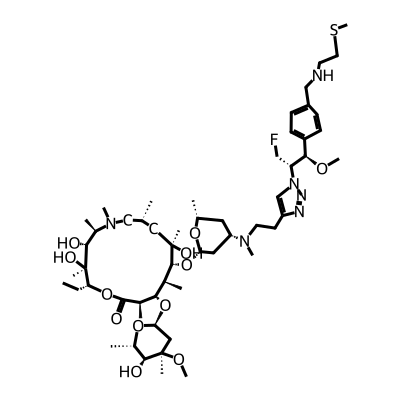 CC[C@H]1OC(=O)[C@H](C)[C@@H](O[C@H]2C[C@@](C)(OC)[C@@H](O)[C@H](C)O2)[C@H](C)[C@@H](O[C@H]2C[C@@H](N(C)CCc3cn([C@H](CF)[C@H](OC)c4ccc(CNCCSC)cc4)nn3)C[C@@H](C)O2)[C@](C)(O)C[C@@H](C)CN(C)[C@H](C)[C@@H](O)[C@]1(C)O